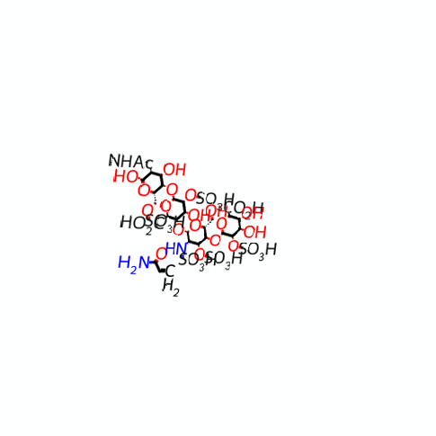 C=CC(N)=O.CC(=O)N[C@@H]1[C@@H](O)[C@H](O[C@@H]2O[C@H](C(=O)O)[C@@H](O[C@@H]3O[C@H](CO)[C@@H](O[C@H]4O[C@@H](C(=O)O)[C@H](O)[C@@H](O)[C@@H]4OS(=O)(=O)O)[C@H](OS(=O)(=O)O)[C@H]3NS(=O)(=O)O)[C@H](O)[C@H]2OS(=O)(=O)O)[C@H](COS(=O)(=O)O)O[C@H]1O